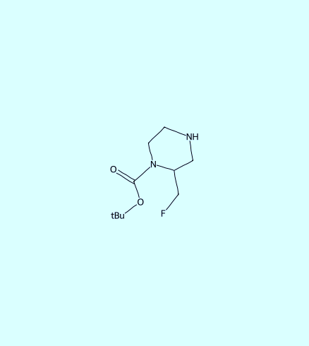 CC(C)(C)OC(=O)N1CCNCC1CF